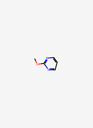 COc1nc[c]cn1